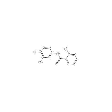 Nc1ccccc1C(=O)Nc1ccc(Cl)c(Cl)c1